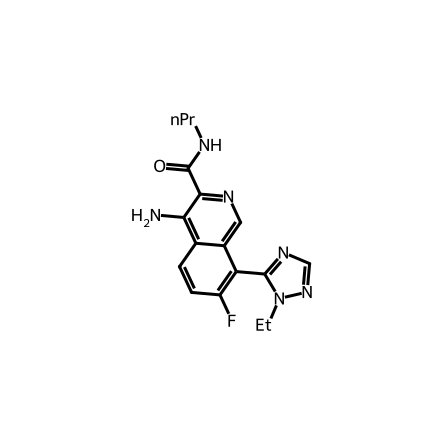 CCCNC(=O)c1ncc2c(-c3ncnn3CC)c(F)ccc2c1N